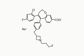 O=C([O-])c1ccc2c(c1)OCCC(c1ccc(F)cc1Cl)=C2c1ccc(CC2CN(CCCF)C2)cc1.[Na+]